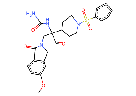 COc1ccc2c(c1)CN(CC(C=O)(NC(N)=O)C1CCN(S(=O)(=O)c3ccccc3)CC1)C2=O